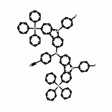 N#Cc1ccc(N(c2ccc3c(c2)c2cc([Si](c4ccccc4)(c4ccccc4)c4ccccc4)ccc2n3-c2ccc(F)cc2)c2ccc3c(c2)c2cc([Si](c4ccccc4)(c4ccccc4)c4ccccc4)ccc2n3-c2ccc(F)cc2)cc1